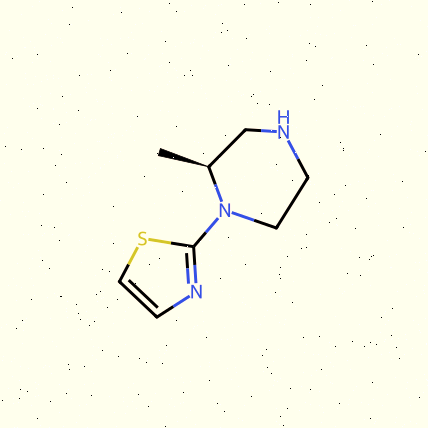 C[C@H]1CNCCN1c1nccs1